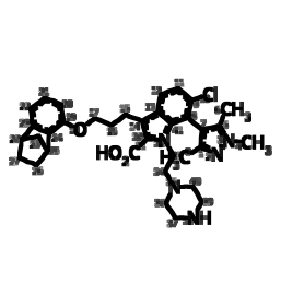 Cc1nn(C)c(C)c1-c1c(Cl)ccc2c(CCCOc3cccc4c3C3CCC4C3)c(C(=O)O)n(CCN3CCNCC3)c12